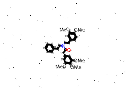 COc1ccc(CCN(CCc2ccccc2)C(=O)Cc2cc(OC)c(OC)c(OC)c2)cc1OC